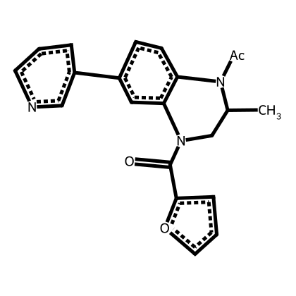 CC(=O)N1c2ccc(-c3cccnc3)cc2N(C(=O)c2ccco2)CC1C